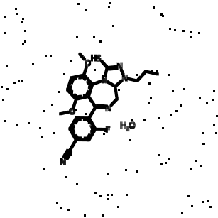 CCCN1N=C(S)N2c3c(OC)ccc(OC)c3C(c3ccc(C#N)cc3F)=NCC12.O